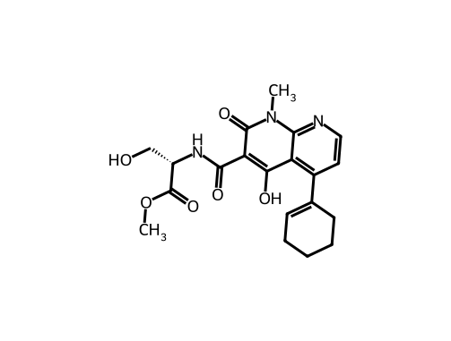 COC(=O)[C@H](CO)NC(=O)c1c(O)c2c(C3=CCCCC3)ccnc2n(C)c1=O